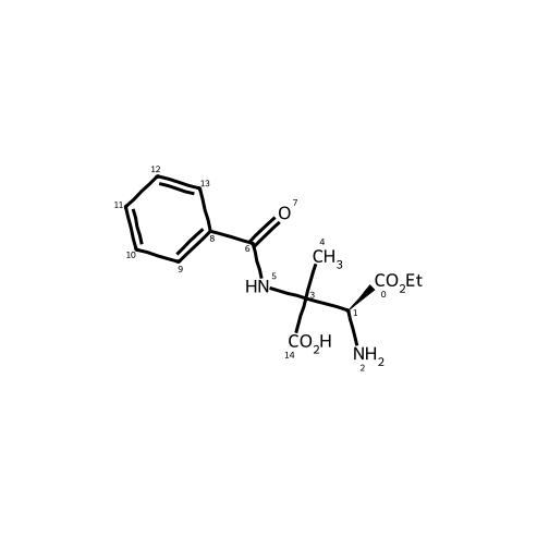 CCOC(=O)[C@@H](N)C(C)(NC(=O)c1ccccc1)C(=O)O